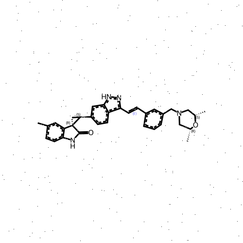 Cc1ccc2c(c1)[C@]1(C[C@H]1c1ccc3c(/C=C/c4cccc(CN5C[C@@H](C)O[C@@H](C)C5)c4)n[nH]c3c1)C(=O)N2